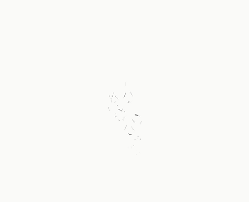 N[C@]1(c2ccc(-c3nc4ccc5nnc(-c6cccc(C(F)(F)F)c6)n5c4nc3-c3ccccc3)cc2)C[C@](O)(C2CC2)C1